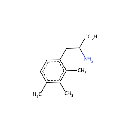 Cc1ccc(CC(N)C(=O)O)c(C)c1C